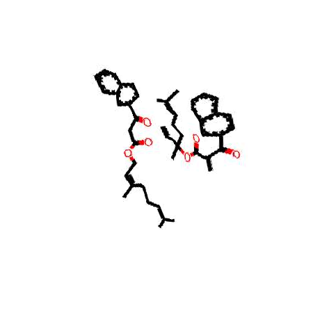 C=CC(C)(CCC=C(C)C)OC(=O)C(C)C(=O)c1ccc2ccccc2c1.CC(C)=CCCC(C)=CCOC(=O)CC(=O)c1ccc2ccccc2c1